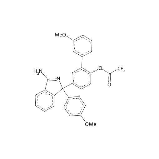 COc1ccc(C2(c3ccc(OC(=O)C(F)(F)F)c(-c4cccc(OC)c4)c3)N=C(N)c3ccccc32)cc1